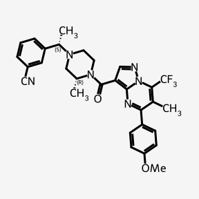 COc1ccc(-c2nc3c(C(=O)N4CCN([C@@H](C)c5cccc(C#N)c5)C[C@H]4C)cnn3c(C(F)(F)F)c2C)cc1